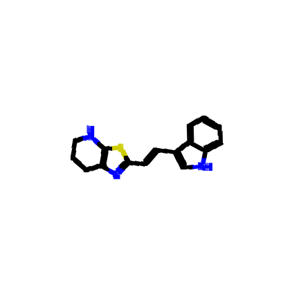 C(=Cc1c[nH]c2ccccc12)c1nc2c(s1)NCCC2